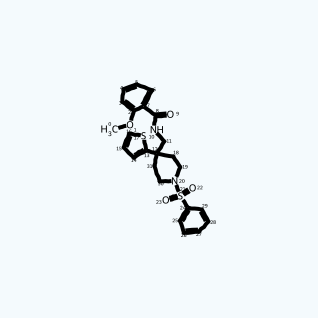 COc1ccccc1C(=O)NCC1(c2cccs2)CCN(S(=O)(=O)c2ccccc2)CC1